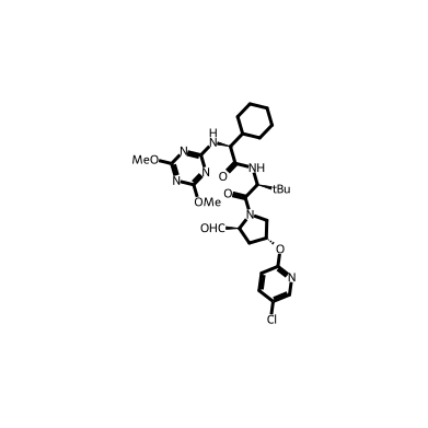 COc1nc(N[C@H](C(=O)N[C@H](C(=O)N2C[C@H](Oc3ccc(Cl)cn3)C[C@H]2C=O)C(C)(C)C)C2CCCCC2)nc(OC)n1